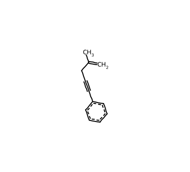 C=C(C)CC#Cc1ccccc1